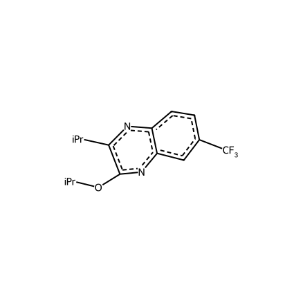 CC(C)Oc1nc2cc(C(F)(F)F)ccc2nc1C(C)C